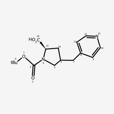 CC(C)(C)OC(=O)N1CC(Cc2ccncc2)C[C@@H]1C(=O)O